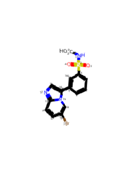 O=C(O)NS(=O)(=O)c1cccc(-c2cnc3ccc(Br)cn23)c1